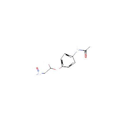 CC(=O)Nc1ccc(OC(O)C[N+](=O)[O-])cc1